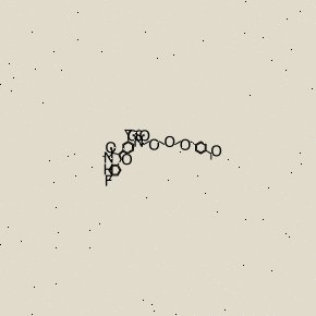 CNC(=O)c1c(-c2ccc(F)cc2)oc2cc(N(CCOCCOCCOCc3ccc(C(C)=O)cc3)S(C)(=O)=O)c(C3CC3)cc12